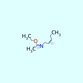 CC/C=C\C/N=C(/C)OCC